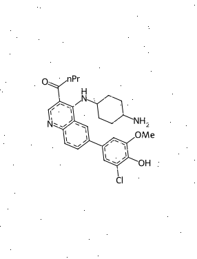 CCCC(=O)c1cnc2ccc(-c3cc(Cl)c(O)c(OC)c3)cc2c1NC1CCC(N)CC1